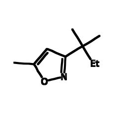 CCC(C)(C)c1cc(C)on1